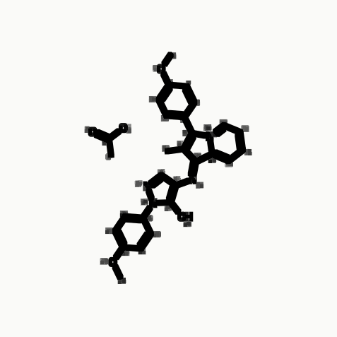 CC(=O)[O-].COc1ccc(C2=C(C)/C(=N\c3cnn(-c4ccc(OC)cc4)c3O)c3cccc[n+]32)cc1